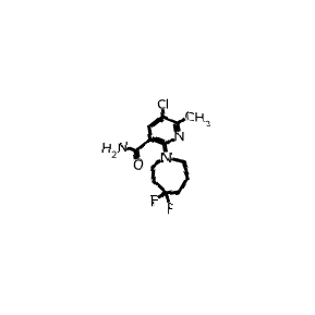 Cc1nc(N2CCCC(F)(F)CC2)c(C(N)=O)cc1Cl